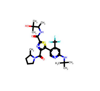 CC1CCCN1C(=O)c1nc(C(=O)NC(C)C(C)(C)O)sc1-c1cnc(NC(C)(C)C)cc1C(F)(F)F